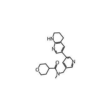 CN(Cc1cncc(-c2cnc3c(c2)CCCN3)c1)C(=O)C1CCOCC1